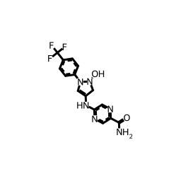 NC(=O)c1cnc(NC2=CN(c3ccc(C(F)(F)F)cc3)N(O)C2)cn1